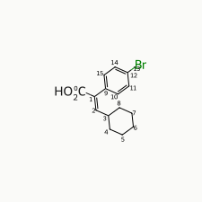 O=C(O)C(=CC1CCCCC1)c1ccc(Br)cc1